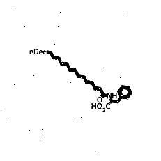 CCCCCCCCCCC/C=C/C=C/C=C/C=C/C=C/C=C/C(=O)N[C@@H](Cc1ccccc1)C(=O)O